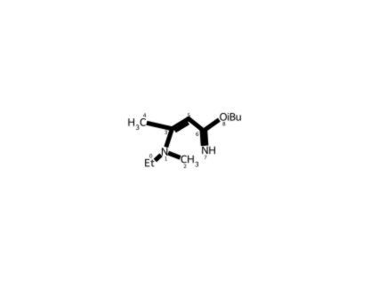 CCN(C)/C(C)=C\C(=N)OCC(C)C